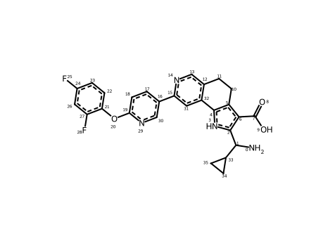 NC(c1[nH]c2c(c1C(=O)O)CCc1cnc(-c3ccc(Oc4ccc(F)cc4F)nc3)cc1-2)C1CC1